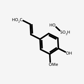 COc1cc(C=CC(=O)O)ccc1O.O=S(=O)(O)O